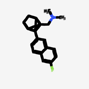 CN(C)CC1=C(c2ccc3cc(F)ccc3c2)C2CCC1C2